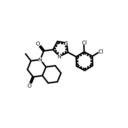 CC1CC(=O)C2CCCCC2N1C(=O)c1csc(-c2cccc(Cl)c2Cl)n1